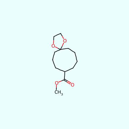 COC(=O)C1CCCCC2(CCC1)OCCO2